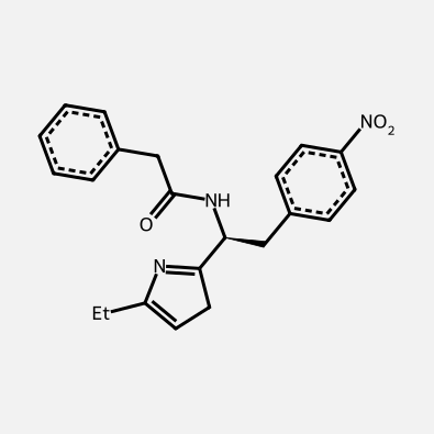 CCC1=CCC([C@H](Cc2ccc([N+](=O)[O-])cc2)NC(=O)Cc2ccccc2)=N1